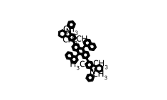 Cc1cc2c(cc1-c1ccc3c(-c4cccc5ccccc45)c4cc(-c5cc6c(cc5C)N(c5ccccc5)C5(C)CCCCC65C)ccc4c(-c4cccc5ccccc45)c3c1)C1(C)CCCCC1(C)N2c1ccccc1